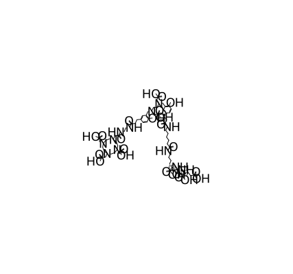 O=C(O)CC[C@H](NC(=O)N[C@@H](CCCCNC(=O)CCCCCNC(=O)CCc1ccc(O)c(CN(CCN(CC(=O)O)Cc2cc(CCC(=O)NCCNC(=O)CN3CCN(CC(=O)O)CCN(CC(=O)O)CCN(C(=O)O)CC3)ccc2O)CC(=O)O)c1)C(=O)O)C(=O)O